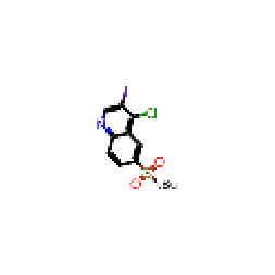 CC(C)(C)S(=O)(=O)c1ccc2ncc(I)c(Cl)c2c1